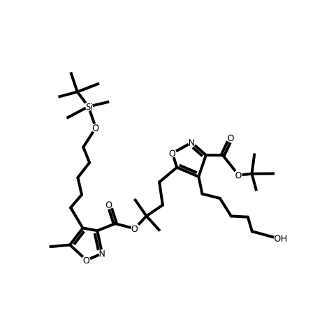 Cc1onc(C(=O)OC(C)(C)CCc2onc(C(=O)OC(C)(C)C)c2CCCCCO)c1CCCCCO[Si](C)(C)C(C)(C)C